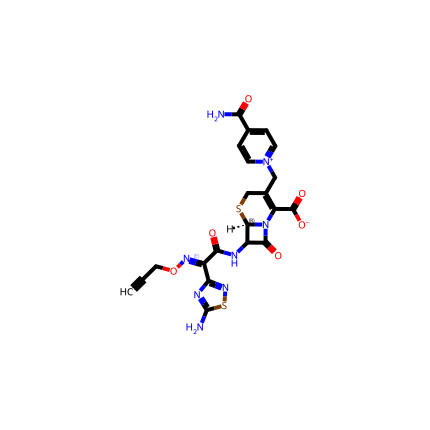 C#CCO/N=C(/C(=O)NC1C(=O)N2C(C(=O)[O-])=C(C[n+]3ccc(C(N)=O)cc3)CS[C@H]12)c1nsc(N)n1